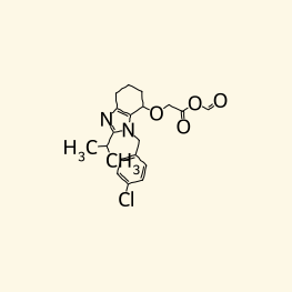 CC(C)c1nc2c(n1Cc1ccc(Cl)cc1)C(OCC(=O)OC=O)CCC2